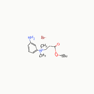 CC(C)(C)OC(=O)CC[N+](C)(C)c1cccc(N)c1.[Br-]